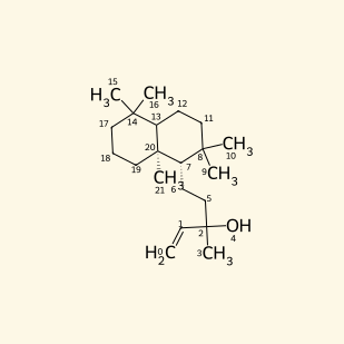 C=CC(C)(O)CC[C@H]1C(C)(C)CCC2C(C)(C)CCC[C@@]21C